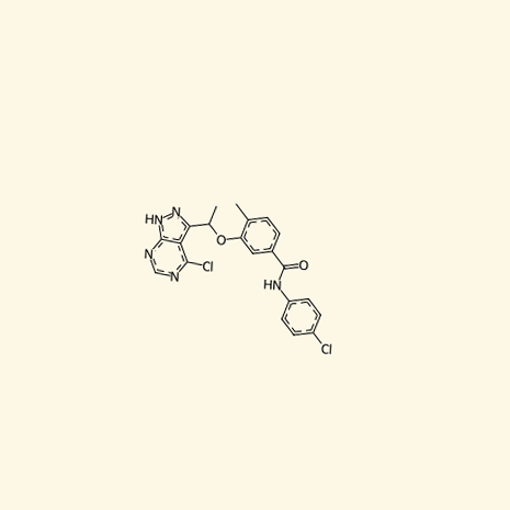 Cc1ccc(C(=O)Nc2ccc(Cl)cc2)cc1OC(C)c1n[nH]c2ncnc(Cl)c12